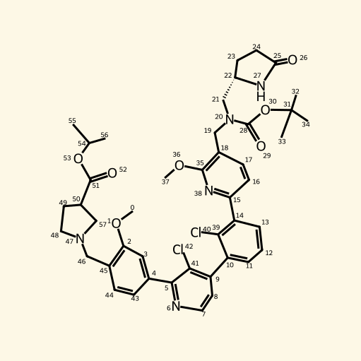 COc1cc(-c2nccc(-c3cccc(-c4ccc(CN(C[C@@H]5CCC(=O)N5)C(=O)OC(C)(C)C)c(OC)n4)c3Cl)c2Cl)ccc1CN1CCC(C(=O)OC(C)C)C1